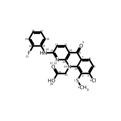 CSc1c(Cl)ccc2c(=O)c3ccc(Nc4ccccc4F)nc3n(CC(=O)O)c12